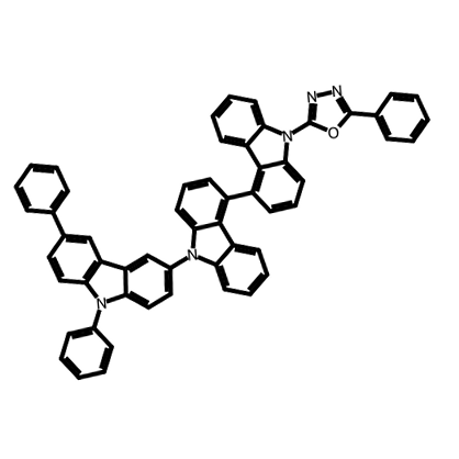 c1ccc(-c2ccc3c(c2)c2cc(-n4c5ccccc5c5c(-c6cccc7c6c6ccccc6n7-c6nnc(-c7ccccc7)o6)cccc54)ccc2n3-c2ccccc2)cc1